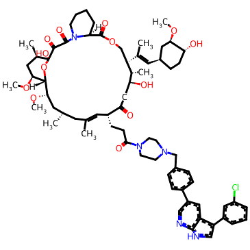 CO[C@H]1C[C@@H](C)C/C(C)=C/[C@@H](CCC(=O)N2CCN(Cc3ccc(-c4cnc5[nH]cc(-c6cccc(Cl)c6)c5c4)cc3)CC2)C(=O)C[C@H](O)[C@@H](C)[C@@H](/C(C)=C/[C@@H]2CC[C@@H](O)[C@H](OC)C2)COC(=O)[C@@H]2CCCCN2C(=O)C(=O)[C@]2(O)O[C@H]1[C@@H](OC)C[C@H]2C